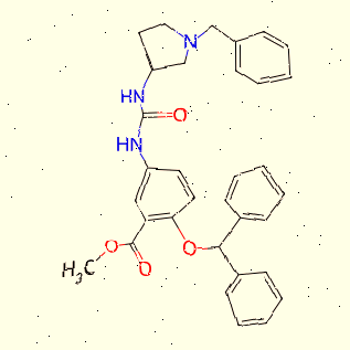 COC(=O)c1cc(NC(=O)NC2CCN(Cc3ccccc3)C2)ccc1OC(c1ccccc1)c1ccccc1